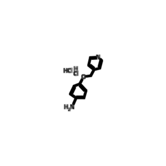 Cl.Cl.Nc1ccc(OCc2ccncc2)cc1